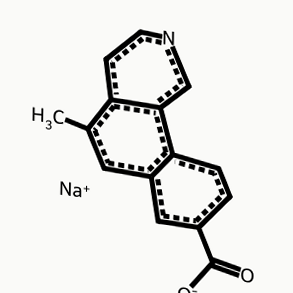 Cc1cc2cc(C(=O)[O-])ccc2c2cnccc12.[Na+]